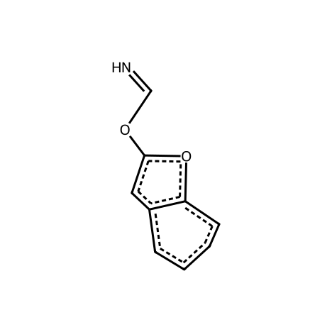 N=COc1cc2ccccc2o1